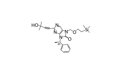 C[C@H](c1ccccc1)n1c(=O)n(COCC[Si](C)(C)C)c2cnc(C#CC(C)(C)O)nc21